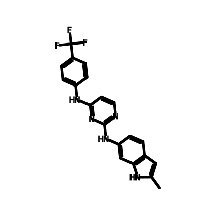 Cc1cc2ccc(Nc3nccc(Nc4ccc(C(F)(F)F)cc4)n3)cc2[nH]1